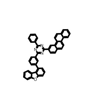 c1ccc(-c2nc(-c3cccc(-c4cccc5oc6ccccc6c45)c3)nc(-c3ccc4ccc5c6ccccc6ccc5c4c3)n2)cc1